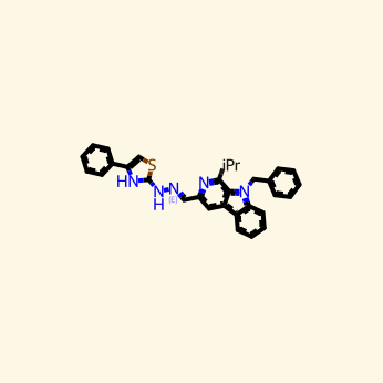 CC(C)c1nc(/C=N/NC2NC(c3ccccc3)=CS2)cc2c3ccccc3n(Cc3ccccc3)c12